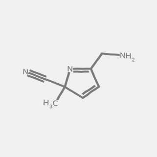 CC1(C#N)C=CC(CN)=N1